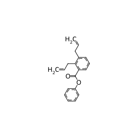 C=CCc1cccc(C(=O)Oc2ccccc2)c1CC=C